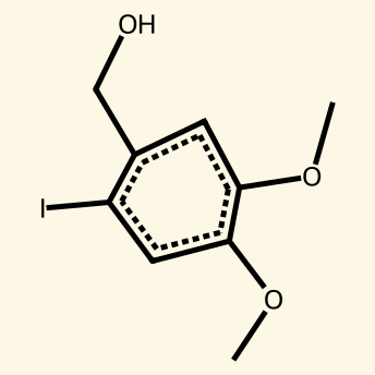 COc1cc(I)c(CO)cc1OC